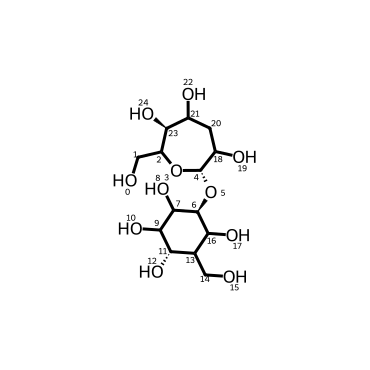 OCC1O[C@@H](O[C@@H]2C(O)C(O)[C@@H](O)C(CO)C2O)C(O)CC(O)[C@@H]1O